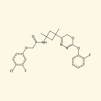 CC1(NC(=O)COc2ccc(Cl)c(F)c2)CC(C)(C2=NN=C(Oc3ccccc3F)OC2)C1